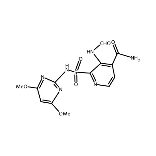 COc1cc(OC)nc(NS(=O)(=O)c2nccc(C(N)=O)c2NC=O)n1